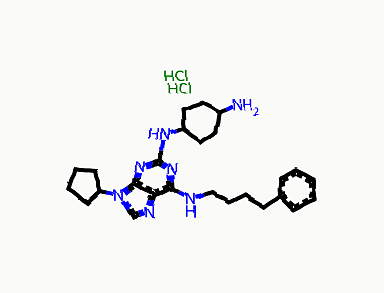 Cl.Cl.NC1CCC(Nc2nc(NCCCCc3ccccc3)c3ncn(C4CCCC4)c3n2)CC1